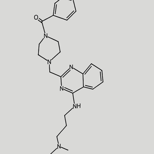 COc1ccc(C(=O)N2CCN(Cc3nc(NCCCN(C)C)c4ccccc4n3)CC2)cc1